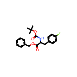 CC(C)(C)OC(=O)NC(Cc1ccc(F)cc1)C(=O)OCc1ccccc1